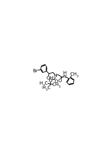 Cc1ccccc1NC(=O)CN(CC(O)c1cccc(Br)c1)C(=O)OC(C)(C)C